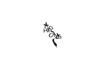 C/C=C\[C@H]1COC(C)(C)N1C(=O)CNC(=O)OC(C)(C)C